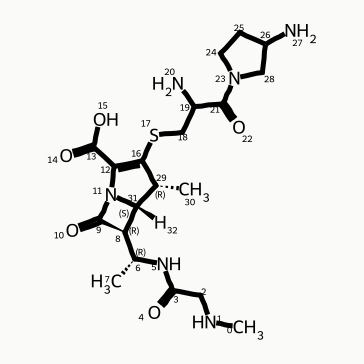 CNCC(=O)N[C@H](C)[C@H]1C(=O)N2C(C(=O)O)=C(SCC(N)C(=O)N3CCC(N)C3)[C@H](C)[C@H]12